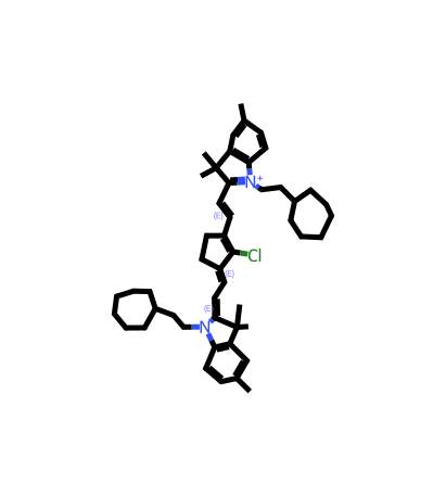 Cc1ccc2c(c1)C(C)(C)C(/C=C/C1=C(Cl)C(=C/C=C3/N(CCC4CCCCCC4)c4ccc(C)cc4C3(C)C)/CC1)=[N+]2CCC1CCCCCC1